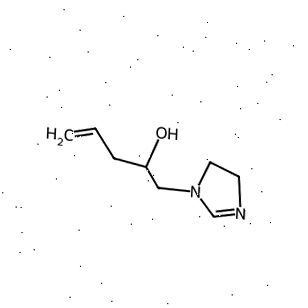 C=CCC(O)CN1C=NCC1